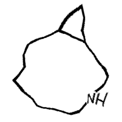 C1CCC2CC2CNC1